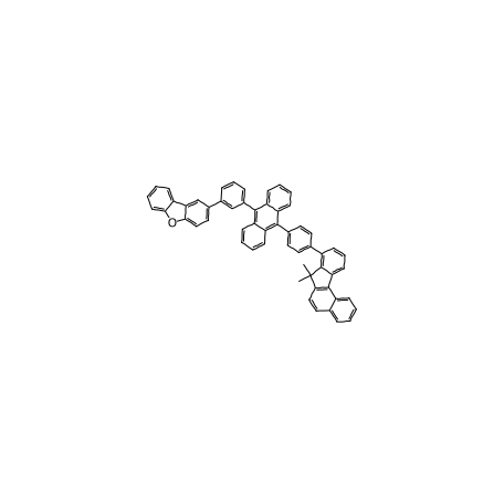 CC1(C)c2ccc3ccccc3c2-c2cccc(-c3ccc(-c4c5ccccc5c(-c5cccc(-c6ccc7oc8ccccc8c7c6)c5)c5ccccc45)cc3)c21